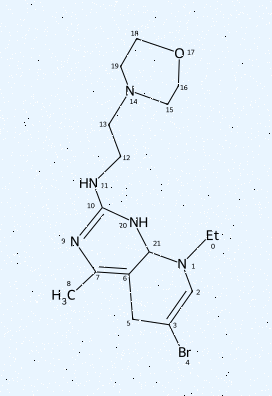 CCN1C=C(Br)CC2=C(C)N=C(NCCN3CCOCC3)NC21